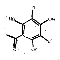 CC(=O)c1c(O)c(Cl)c(O)c(Cl)c1O